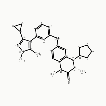 Cc1c(-c2ccnc(Nc3ccc4c(c3)N(C3CCCC3)[C@H](C)C(=O)N4C)n2)c(C2CC2)nn1C